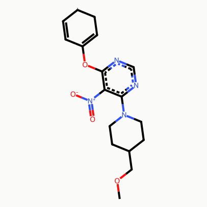 COCC1CCN(c2ncnc(OC3=CC[CH]C=C3)c2[N+](=O)[O-])CC1